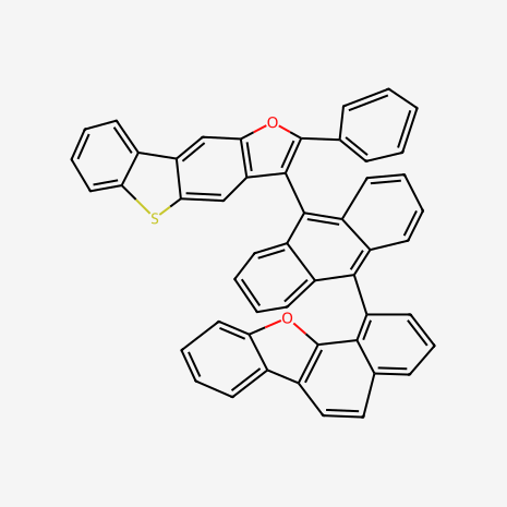 c1ccc(-c2oc3cc4c(cc3c2-c2c3ccccc3c(-c3cccc5ccc6c7ccccc7oc6c35)c3ccccc23)sc2ccccc24)cc1